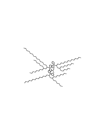 CCCCCCCCCCCCCCC(CC(CCCCCC)CCCCCCCC)C(=O)OCC(COC(=O)C(CCCCCCCCCCCCCC)CC(CCCCCC)CCCCCCCC)OC(=O)C(CCCCCCCCCCCCCC)CC(CCCCCC)CCCCCCCC